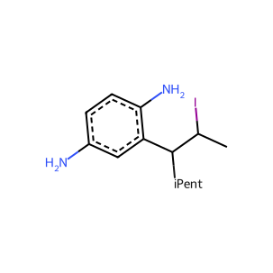 CCCC(C)C(c1cc(N)ccc1N)C(C)I